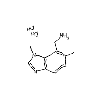 Cc1ccc2ncn(C)c2c1CN.Cl.Cl